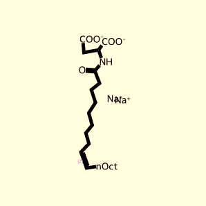 CCCCCCCC/C=C\CCCCCCCC(=O)NC(CC(=O)[O-])C(=O)[O-].[Na+].[Na+]